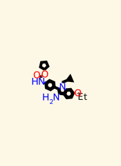 CCOc1ccc2c(N)c(-c3ccc(NC(=O)OC4CCCC4)cc3)n(CC3CC3)c2c1